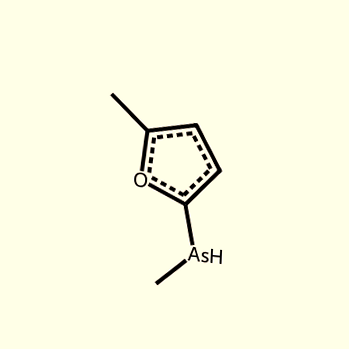 C[AsH]c1ccc(C)o1